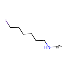 CCCNCCCCCCI